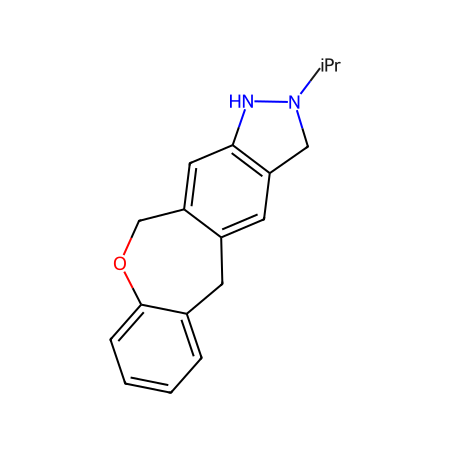 CC(C)N1Cc2cc3c(cc2N1)COc1ccccc1C3